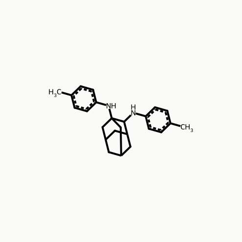 Cc1ccc(NC2C3CC4CC(C3)CC2(Nc2ccc(C)cc2)C4)cc1